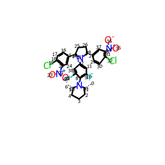 C[C@@H]1CCC[C@H](C)N1c1c(F)cc(N2[C@@H](c3ccc(Cl)c([N+](=O)[O-])c3)CC[C@@H]2c2ccc(Cl)c([N+](=O)[O-])c2)cc1F